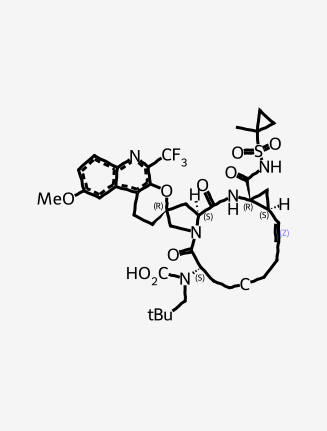 COc1ccc2nc(C(F)(F)F)c3c(c2c1)CC[C@]1(C[C@H]2C(=O)N[C@]4(C(=O)NS(=O)(=O)C5(C)CC5)C[C@H]4/C=C\CCCCC[C@H](N(CC(C)(C)C)C(=O)O)C(=O)N2C1)O3